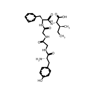 CC[C@H](C)[C@H](NC(=O)[C@H](Cc1ccccc1)NC(=O)CNC(=O)CNC(=O)[C@@H](N)Cc1ccc(O)cc1)C(=O)O